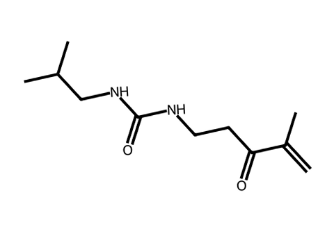 C=C(C)C(=O)CCNC(=O)NCC(C)C